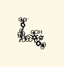 CCCC(=O)N(OC(=O)OCc1ccc([N+](=O)[O-])cc1)C(CSCc1c(OC)c(Cc2ccc([N+](=O)[O-])cc2)c(O[Si](C)(C)C(C)(C)C)c(C)c1C(=O)O)C(=O)OC